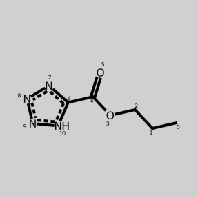 CCCOC(=O)c1nnn[nH]1